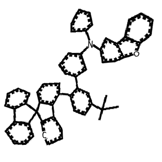 CC(C)(C)c1ccc(-c2cccc3c2-c2ccccc2C32c3ccccc3-c3ccccc32)c(-c2cccc(N(c3ccccc3)c3ccc4oc5ccccc5c4c3)c2)c1